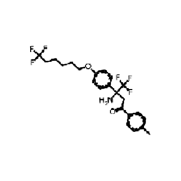 Cc1ccc(C(=O)CC(N)(c2ccc(OCCCCCC(F)(F)F)cc2)C(F)(F)F)cc1